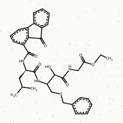 CCOC(=O)CNC(=O)C(O)C(COCc1ccccc1)NC(=O)[C@@H](CC(C)C)NC(=O)c1cccc2c1C(=O)c1ccccc1-2